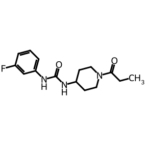 CCC(=O)N1CCC(NC(=O)Nc2cccc(F)c2)CC1